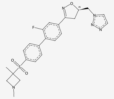 CN1CC(C)(S(=O)(=O)c2ccc(-c3ccc(C4=NO[C@@H](Cn5ccnn5)C4)cc3F)cc2)C1